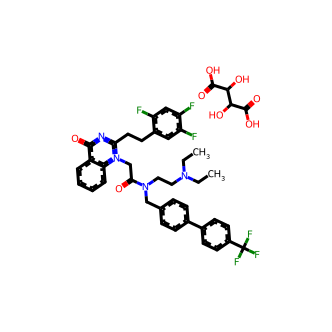 CCN(CC)CCN(Cc1ccc(-c2ccc(C(F)(F)F)cc2)cc1)C(=O)Cn1c(CCc2cc(F)c(F)cc2F)nc(=O)c2ccccc21.O=C(O)C(O)C(O)C(=O)O